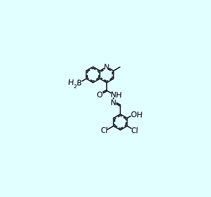 Bc1ccc2nc(C)cc(C(=O)N/N=C/c3cc(Cl)cc(Cl)c3O)c2c1